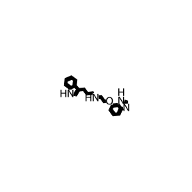 c1cc(OCCNCCCc2c[nH]c3ccccc23)c2[nH]cnc2c1